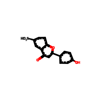 O=c1cc(-c2ccc(O)cc2)oc2ccc(S(=O)(=O)O)cc12